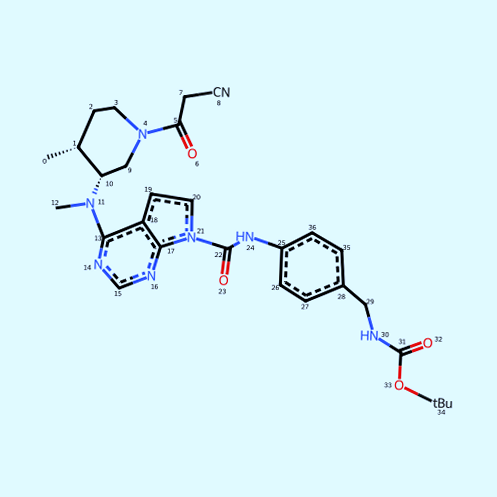 C[C@@H]1CCN(C(=O)CC#N)C[C@@H]1N(C)c1ncnc2c1ccn2C(=O)Nc1ccc(CNC(=O)OC(C)(C)C)cc1